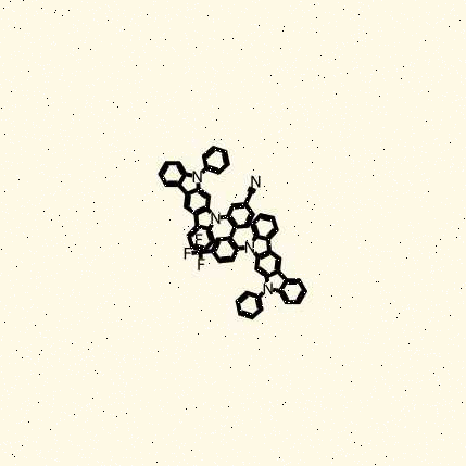 N#Cc1ccc(-c2cc(C(F)(F)F)ccc2-n2c3ccccc3c3cc4c5ccccc5n(-c5ccccc5)c4cc32)c(-n2c3ccccc3c3cc4c5ccccc5n(-c5ccccc5)c4cc32)c1